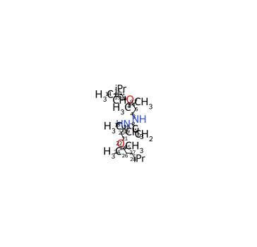 C=C=C(NCCC(C)(C)OCCC(C)(C)C(C)C)NC(C)(C)CCOC(C)(C)CCC(C)C